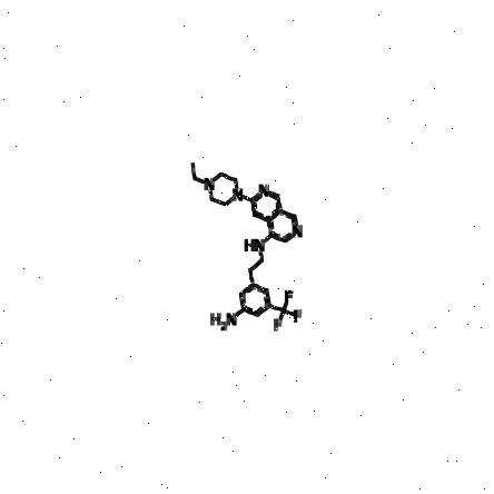 CCN1CCN(c2cc3c(NCCc4cc(N)cc(C(F)(F)F)c4)cncc3cn2)CC1